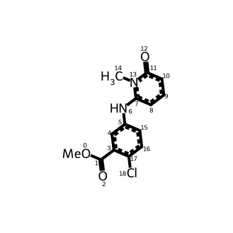 COC(=O)c1cc(Nc2cccc(=O)n2C)ccc1Cl